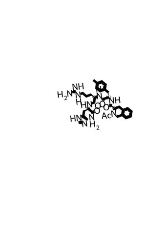 CC(=O)N1Cc2ccccc2C[C@@H]1C(=O)N[C@@H](Cc1ccc(C)cc1)C(=O)N[C@H](CCCNC(=N)N)C(=O)N[C@H](Cc1cnc[nH]1)C(N)=O